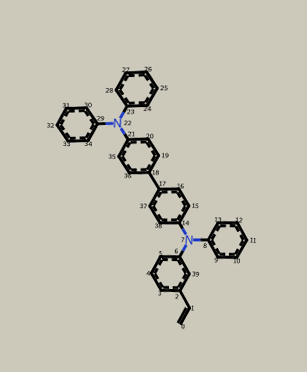 C=Cc1cccc(N(c2ccccc2)c2ccc(-c3ccc(N(c4ccccc4)c4ccccc4)cc3)cc2)c1